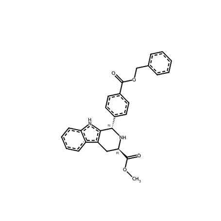 COC(=O)[C@H]1Cc2c([nH]c3ccccc23)[C@H](c2ccc(C(=O)OCc3ccccc3)cc2)N1